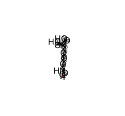 CC(C)(C)OC(=O)NCCCOCCOCCOCCCN(CCC(=O)O)CCC(=O)O